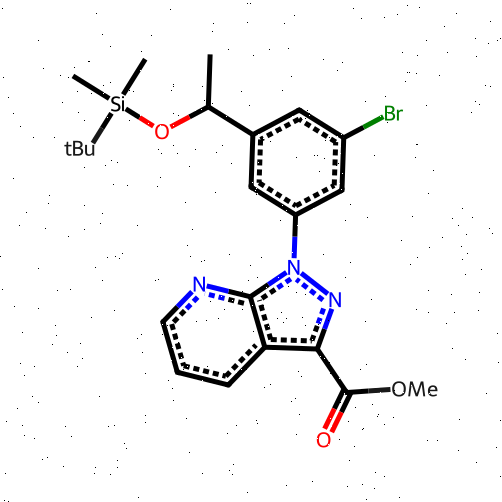 COC(=O)c1nn(-c2cc(Br)cc(C(C)O[Si](C)(C)C(C)(C)C)c2)c2ncccc12